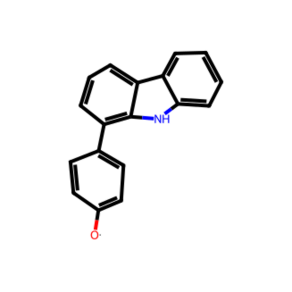 [O]c1ccc(-c2cccc3c2[nH]c2ccccc23)cc1